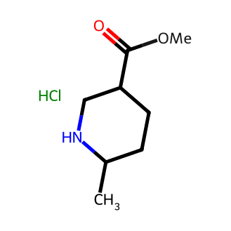 COC(=O)C1CCC(C)NC1.Cl